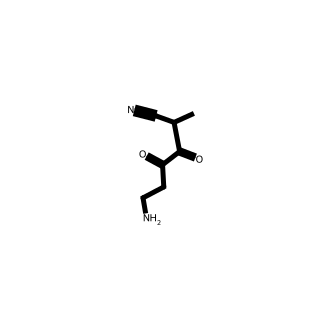 CC(C#N)C(=O)C(=O)CCN